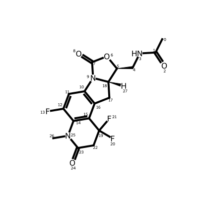 CC(=O)NC[C@@H]1OC(=O)N2c3cc(F)c4c(c3C[C@@H]12)C(F)(F)CC(=O)N4C